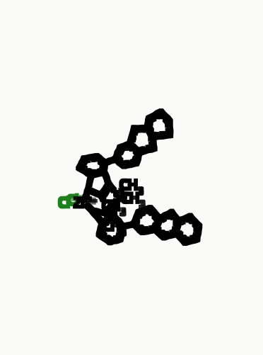 CC1=C2c3c(-c4ccc5cc6ccccc6cc5c4)cccc3[CH]1[Zr+2][CH]1C(C)=C(c3c(-c4ccc5cc6ccccc6cc5c4)cccc31)[Si]2(C)C.[Cl-].[Cl-]